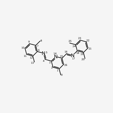 Cc1cc(/C=N/c2c(C)cccc2C)nc(/C=N/c2c(C)cccc2C)c1